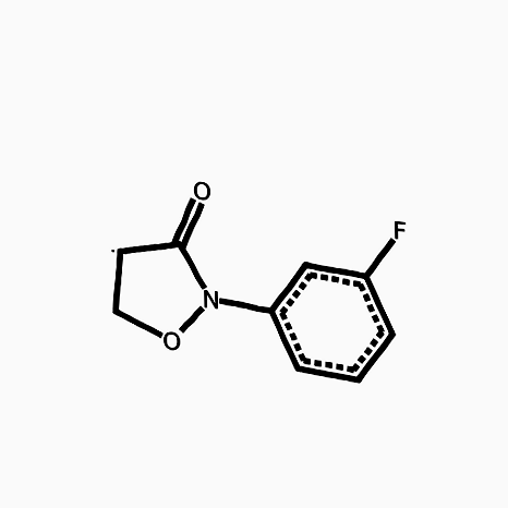 O=C1[CH]CON1c1cccc(F)c1